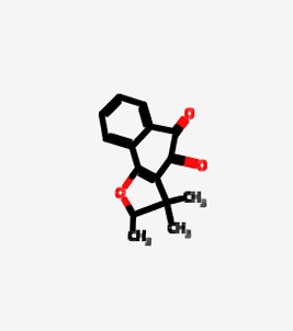 CC1OC2=C(C(=O)C(=O)c3ccccc32)C1(C)C